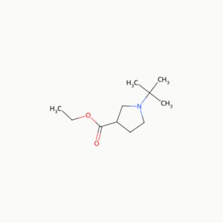 CCOC(=O)C1CCN(C(C)(C)C)C1